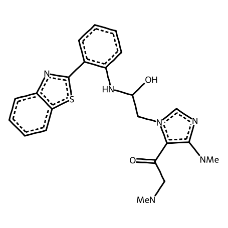 CNCC(=O)c1c(NC)ncn1CC(O)Nc1ccccc1-c1nc2ccccc2s1